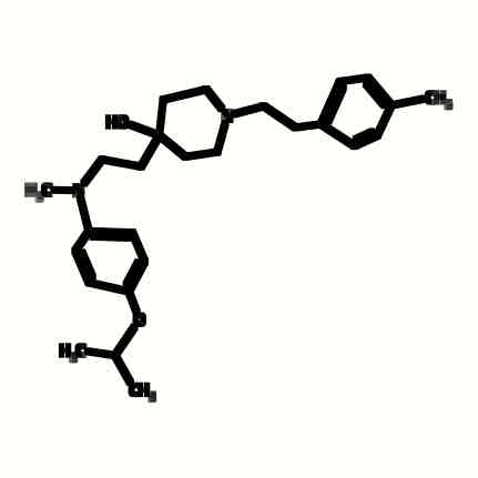 Cc1ccc(CCN2CCC(O)(CCN(C)c3ccc(OC(C)C)cc3)CC2)cc1